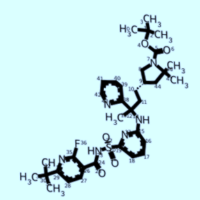 CC(C)(C)OC(=O)N1C[C@@H](CCC(C)(Nc2cccc(S(=O)(=O)NC(=O)c3ccc(C(C)(C)C)nc3F)n2)c2ccccn2)CC1(C)C